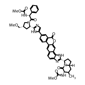 COC[C@H]1C[C@@H](c2ncc(-c3ccc4c(c3)c(=O)oc3cc5c(ccc6nc([C@@H]7CC[C@@H]8CC(C)[C@H](NC(=O)OC)C(=O)N87)[nH]c65)cc34)[nH]2)N(C(=O)[C@H](NC(=O)OC)c2ccccc2)C1